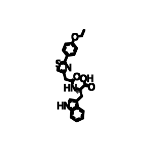 CCOc1ccc(-c2nc(CC(=O)N[C@H](Cc3c[nH]c4ccccc34)C(=O)O)cs2)cc1